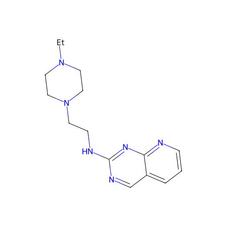 CCN1CCN(CCNc2ncc3cccnc3n2)CC1